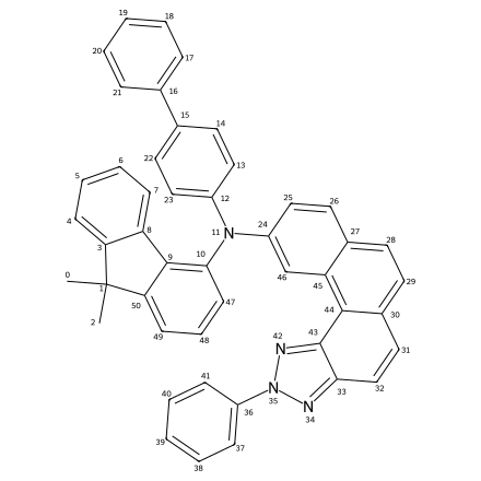 CC1(C)c2ccccc2-c2c(N(c3ccc(-c4ccccc4)cc3)c3ccc4ccc5ccc6nn(-c7ccccc7)nc6c5c4c3)cccc21